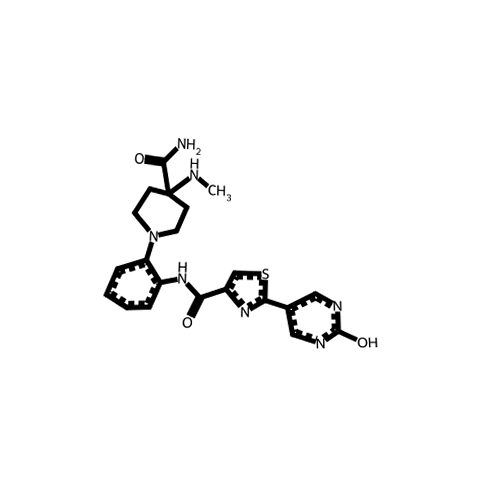 CNC1(C(N)=O)CCN(c2ccccc2NC(=O)c2csc(-c3cnc(O)nc3)n2)CC1